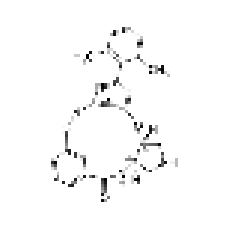 Cc1cccc(C)c1-c1cc2nc(n1)NSc1cccc(c1)C(=O)N[C@@H]1CNC[C@H]1O2